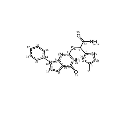 Cc1nnc(C(Sc2nc3c(cnn3-c3ccccc3)c(=O)[nH]2)C(N)=O)s1